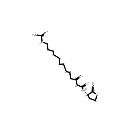 O=C(CCCCCCCCCCOC(=O)C(F)(F)F)CC(=O)N[C@H]1CCOC1=O